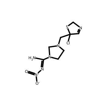 NC(=N[N+](=O)[O-])N1CCN(CC2(Cl)C=NCS2)C1